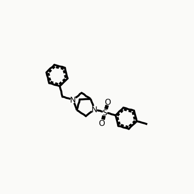 Cc1ccc(S(=O)(=O)N2CC3CC2CN3Cc2ccccc2)cc1